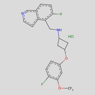 Cl.Fc1ccc(OC2CC(NCc3c(F)ccc4cnccc34)C2)cc1OC(F)(F)F